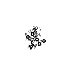 Cn1nc(NS(C)(=O)=O)c2c(Cl)ccc(-n3c([C@H](Cc4cc(F)cc(F)c4)NC(=O)Cn4nc(C(F)F)c5c4C(F)(F)C4CC54)nc4cc(-c5ccccc5Oc5ccccc5)ccc4c3=O)c21